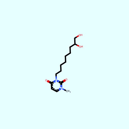 Cn1ccc(=O)n(CCCCCCCC(O)CO)c1=O